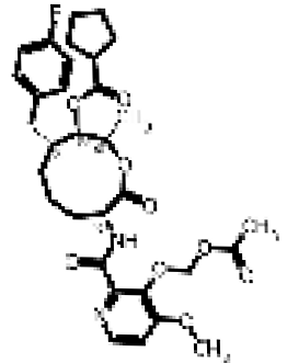 COc1ccnc(C(=O)N[C@H]2CCC[C@H](Cc3ccc(F)cc3)[C@@H](OC(=O)C3CCCC3)[C@H](C)OC2=O)c1OCOC(C)=O